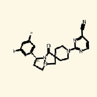 N#Cc1ccnc(N2CCC3(CC2)CN2CC[C@@H](c4cc(F)cc(F)c4)N2C3=O)n1